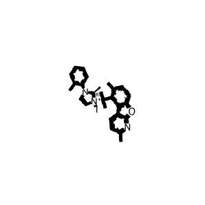 Cc1ccc2c(n1)oc1ccc(C)c(C(C)(C)[N+]3(I)C=CN(c4ccccc4C)[C@H]3C)c12